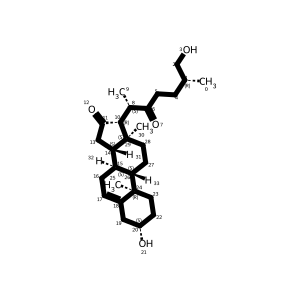 C[C@@H](CO)CCC(=O)[C@@H](C)[C@H]1C(=O)C[C@H]2[C@@H]3CC=C4C[C@@H](O)CC[C@]4(C)[C@H]3CC[C@]12C